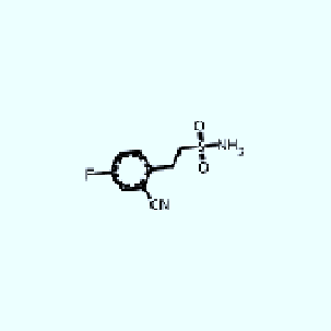 N#Cc1cc(F)ccc1CCS(N)(=O)=O